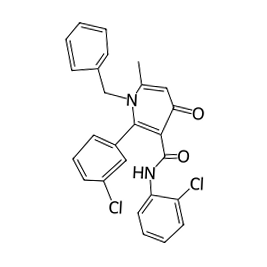 Cc1cc(=O)c(C(=O)Nc2ccccc2Cl)c(-c2cccc(Cl)c2)n1Cc1ccccc1